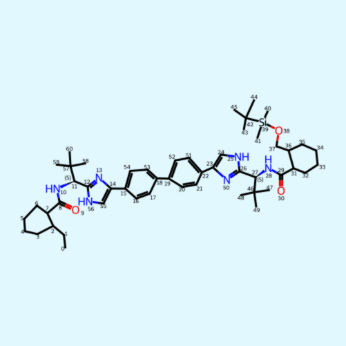 CCC1CCCCC1C(=O)N[C@H](c1nc(-c2ccc(-c3ccc(-c4c[nH]c([C@@H](NC(=O)C5CCCCC5CO[Si](C)(C)C(C)(C)C)C(C)(C)C)n4)cc3)cc2)c[nH]1)C(C)(C)C